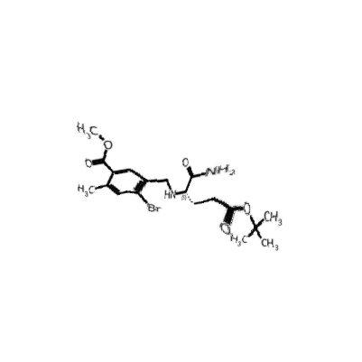 COC(=O)c1cc(CN[C@@H](CCC(=O)OC(C)(C)C)C(N)=O)c(Br)cc1C